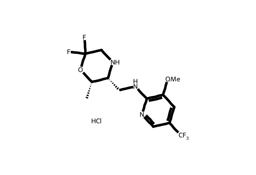 COc1cc(C(F)(F)F)cnc1NC[C@H]1NCC(F)(F)O[C@H]1C.Cl